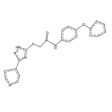 O=C(CSc1nc(-c2ccncc2)n[nH]1)Nc1ccc(Oc2ccccc2)cc1